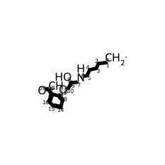 [CH2]CCCCCNCC(O)COc1ccccc1C(C)=O